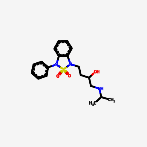 CC(C)NCC(O)CCN1c2ccccc2N(c2ccccc2)S1(=O)=O